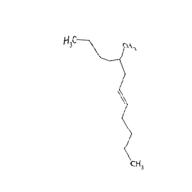 CCCCC=CCC(C)CCC